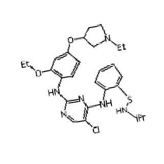 CCOc1cc(OC2CCN(CC)C2)ccc1Nc1ncc(Cl)c(Nc2ccccc2SNC(C)C)n1